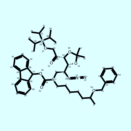 CC(CCCCCN(C[C@H](N=[N+]=[N-])[C@H]1OC(C)(C)O[C@H]1C(=O)CO[Si](C(C)C)(C(C)C)C(C)C)C(=O)OC1c2ccccc2-c2ccccc21)OCc1ccccc1